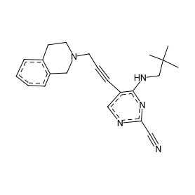 CC(C)(C)CNc1nc(C#N)ncc1C#CCN1CCc2ccccc2C1